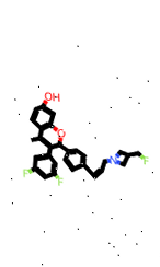 CC1=C(c2cc(F)cc(F)c2)C(c2ccc(/C=C\CN3CC(CF)C3)cc2)Oc2cc(O)ccc21